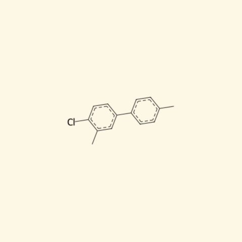 Cc1ccc(-c2ccc(Cl)c(C)c2)cc1